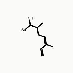 C=CC(C)=CCC(C)C(O)CCCC